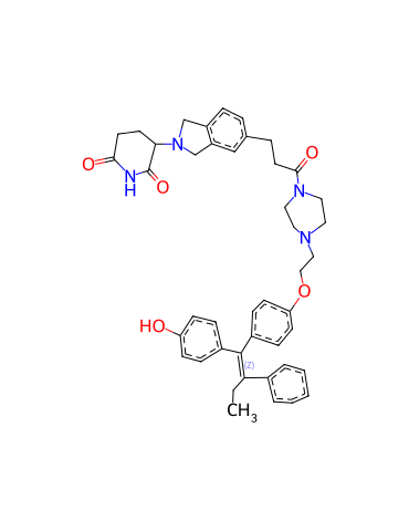 CC/C(=C(\c1ccc(O)cc1)c1ccc(OCCN2CCN(C(=O)CCc3ccc4c(c3)CN(C3CCC(=O)NC3=O)C4)CC2)cc1)c1ccccc1